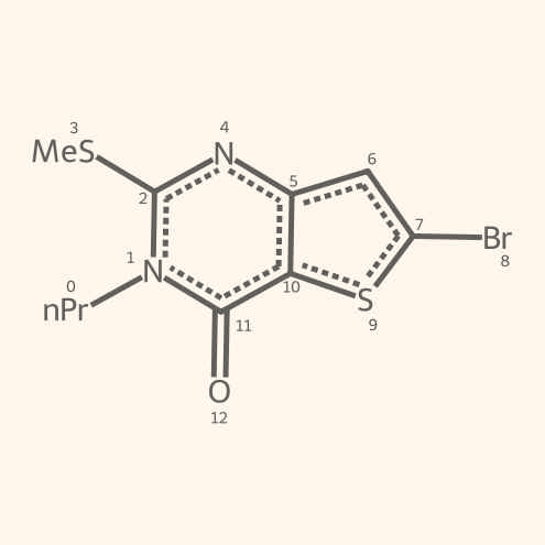 CCCn1c(SC)nc2cc(Br)sc2c1=O